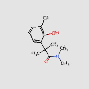 CN(C)C(=O)C(C)(C)c1cccc(C#N)c1O